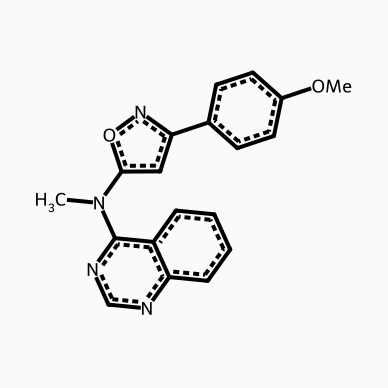 COc1ccc(-c2cc(N(C)c3ncnc4ccccc34)on2)cc1